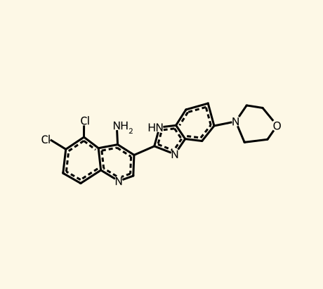 Nc1c(-c2nc3cc(N4CCOCC4)ccc3[nH]2)cnc2ccc(Cl)c(Cl)c12